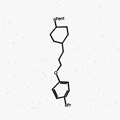 CCCCCC1CCC(CCCOc2ccc(CCC)cc2)CC1